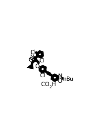 CCCCc1nc2cc(C#Cc3ccc(OCc4c(-c5c(Cl)cccc5Cl)noc4C4CC4)cc3Cl)cc(C(=O)O)c2o1